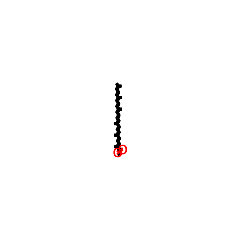 COC(=O)/C(C)=C/C=C/C(C)=C/C=C/C(C)=C/C=C/C=C(C)/C=C/C=C(C)/C=C/C=C(C)C